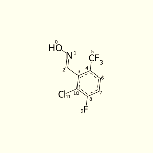 O/N=C/c1c(C(F)(F)F)ccc(F)c1Cl